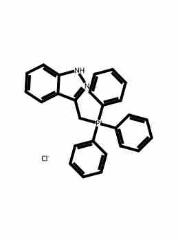 [Cl-].c1ccc([P+](Cc2n[nH]c3ccccc23)(c2ccccc2)c2ccccc2)cc1